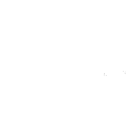 Cc1cc(-c2ccc3c4ccncc4n(C4=CC=CCC4)c3c2)ccc1-c1ccc(-c2c3ccccc3c(-c3ccccc3)c3ccccc23)cc1